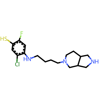 Fc1cc(NCCCCN2CCC3CNCC3C2)c(Cl)cc1S